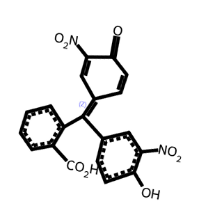 O=C1C=C/C(=C(\c2ccc(O)c([N+](=O)[O-])c2)c2ccccc2C(=O)O)C=C1[N+](=O)[O-]